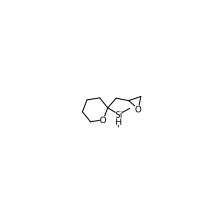 C[SiH](C)C1(CC2CO2)CCCCO1